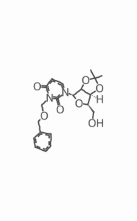 CC1(C)OC2[C@@H](O1)[C@@H](CO)O[C@H]2n1ccc(=O)n(COCc2ccccc2)c1=O